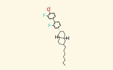 CCCCCCCC1CC[C@@H]2C[C@H](c3ccc(-c4ccc(OC)c(F)c4)c(F)c3)CC[C@@H]2C1